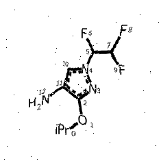 CC(C)Oc1nn(C(F)C(F)F)cc1N